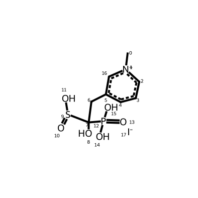 C[n+]1cccc(CC(O)(S(=O)O)P(=O)(O)O)c1.[I-]